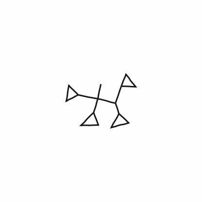 CC(C1CC1)(C1CC1)C(C1CC1)C1CC1